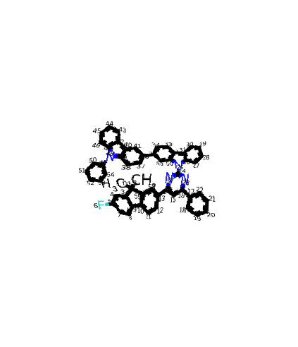 CC1(C)c2cc(F)ccc2-c2ccc(-c3cc(-c4ccccc4)nc(-n4c5ccccc5c5ccc(-c6ccc7c(c6)c6ccccc6n7-c6ccccc6)cc54)n3)cc21